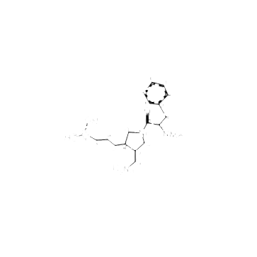 CNC(Cc1ccccc1)C(=O)N1CC(CN)C(CCCB(O)O)C1